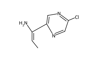 C/C=C(/N)c1cnc(Cl)cn1